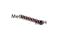 COCCOCCOCCOCCOCCOCCOCCOCCOCCOCCOCCOCCP(=O)(O)O